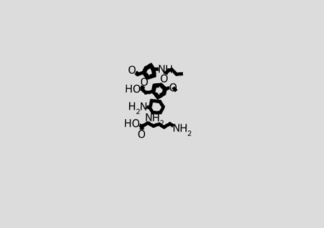 CCCC(=O)Nc1ccc(C=O)cc1.COc1ccc(CC(=O)O)cc1.NC1CCCCC1.NCCCCC(N)C(=O)O